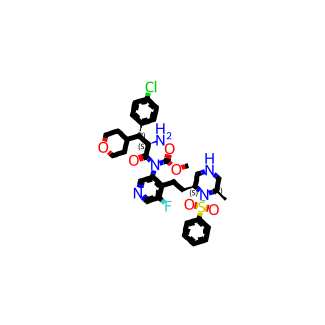 COC(=O)N(C(=O)[C@@H](N)[C@@H](c1ccc(Cl)cc1)C1CCOCC1)c1cncc(F)c1CC[C@H]1CNC[C@@H](C)N1S(=O)(=O)c1ccccc1